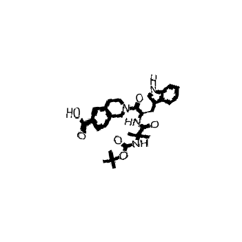 CC(C)(C)OC(=O)NC(C)(C)C(=O)N[C@H](Cc1c[nH]c2ccccc12)C(=O)N1CCc2cc(C(=O)O)ccc2C1